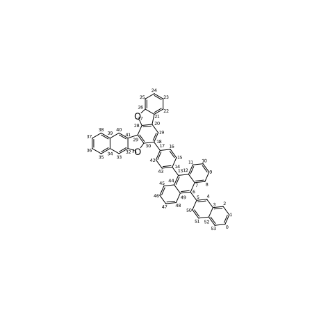 c1ccc2cc(-c3c4ccccc4c(-c4ccc(-c5cc6c7ccccc7oc6c6c5oc5cc7ccccc7cc56)cc4)c4ccccc34)ccc2c1